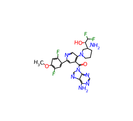 COc1cc(F)c(-c2cc(C(=O)n3cnc4c(N)ncnc43)c(N3CCC[C@](N)([C@@H](O)C(F)F)C3)cn2)cc1F